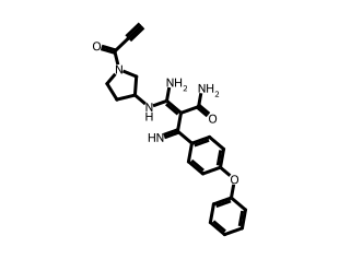 C#CC(=O)N1CCC(N/C(N)=C(\C(=N)c2ccc(Oc3ccccc3)cc2)C(N)=O)C1